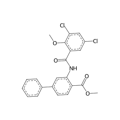 COC(=O)c1ccc(-c2ccccc2)cc1NC(=O)c1cc(Cl)cc(Cl)c1OC